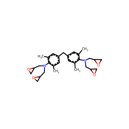 Cc1cc(Cc2cc(C)c(N(CC3CO3)CC3CO3)c(C)c2)cc(C)c1N(CC1CO1)CC1CO1